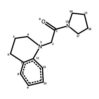 O=C(CN1CCCc2ccccc21)N1CCCC1